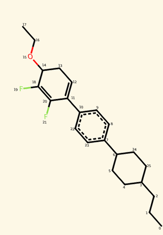 CCCC1CCC(c2ccc(C3=CCC(OCC)C(F)=C3F)cc2)CC1